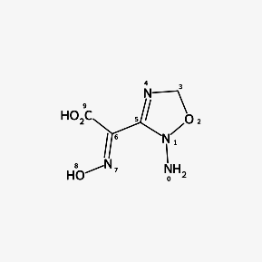 NN1OCN=C1C(=NO)C(=O)O